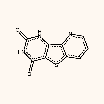 O=c1[nH]c(=O)c2sc3cccnc3c2[nH]1